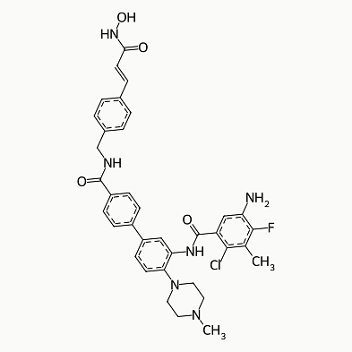 Cc1c(F)c(N)cc(C(=O)Nc2cc(-c3ccc(C(=O)NCc4ccc(/C=C/C(=O)NO)cc4)cc3)ccc2N2CCN(C)CC2)c1Cl